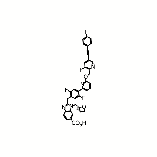 O=C(O)c1ccc2nc(Cc3cc(F)c(-c4cccc(OCc5ncc(C#Cc6ccc(F)cc6)cc5F)n4)cc3F)n(C[C@@H]3CCO3)c2c1